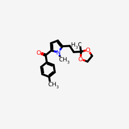 Cc1ccc(C(=O)c2ccc(CCC3(C)OCCO3)n2C)cc1